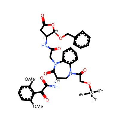 COc1cccc(OC)c1C(=O)C(=O)N[C@H]1CN(C(=O)CO[Si](C(C)C)(C(C)C)C(C)C)c2ccccc2N(CC(=O)N[C@H]2CC(=O)O[C@H]2OCc2ccccc2)C1=O